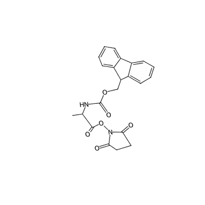 CC(NC(=O)OCC1c2ccccc2-c2ccccc21)C(=O)ON1C(=O)CCC1=O